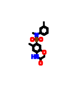 Cc1cccc(N(C)S(=O)(=O)c2cc3c(cc2C)NC(=O)CO3)c1